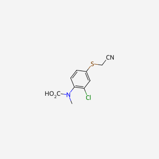 CN(C(=O)O)c1ccc(SCC#N)cc1Cl